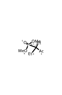 CCC(CC)(C(C)=O)P(=O)(OC)OC